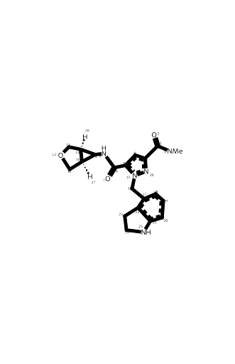 CNC(=O)c1cc(C(=O)NC2[C@H]3COC[C@@H]23)n(Cc2cccc3c2CCN3)n1